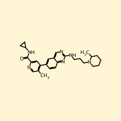 Cc1cnc(C(=O)NC2CC2)cc1-c1ccc2nc(NCCCN3CCCCC3C)ncc2c1